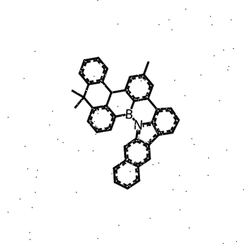 Cc1cc2c3c(c1)C1c4ccccc4C(C)(C)c4cccc(c41)B3n1c3cc4ccccc4cc3c3cccc-2c31